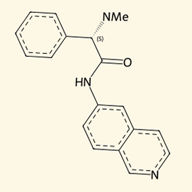 CN[C@H](C(=O)Nc1ccc2cnccc2c1)c1ccccc1